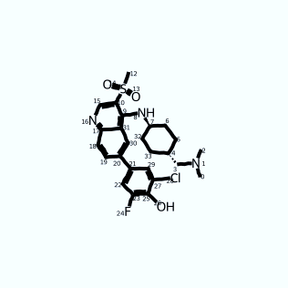 CN(C)C[C@H]1CC[C@H](Nc2c(S(C)(=O)=O)cnc3ccc(-c4cc(F)c(O)c(Cl)c4)cc23)CC1